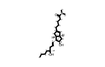 CCCC[C@](C)(O)C/C=C/[C@@H]1[C@H]2CC(CCCCC(=O)N(C)C)=C[C@H]2C[C@H]1O